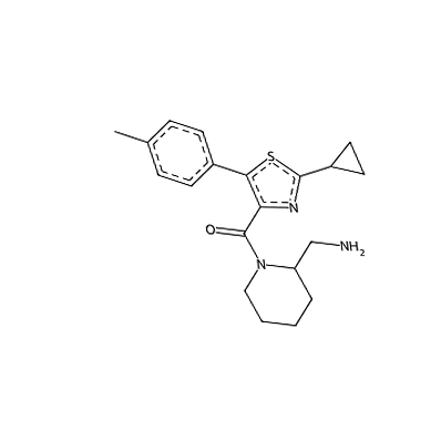 Cc1ccc(-c2sc(C3CC3)nc2C(=O)N2CCCCC2CN)cc1